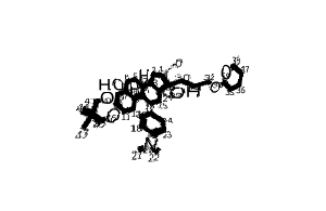 C[C@H]1C[C@H]2[C@@H]3CC[C@@]4(O)CC5(CCC4=C3[C@@H](c3ccc(N(C)C)cc3)C[C@]2(C)[C@]1(O)CCCOC1CCCCO1)OCC(C)(C)CO5